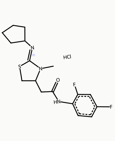 CN1/C(=N/C2CCCC2)SCC1CC(=O)Nc1ccc(F)cc1F.Cl